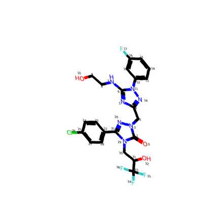 O=c1n(Cc2nc(NCCO)n(-c3cccc(F)c3)n2)nc(-c2ccc(Cl)cc2)n1CC(O)C(F)(F)F